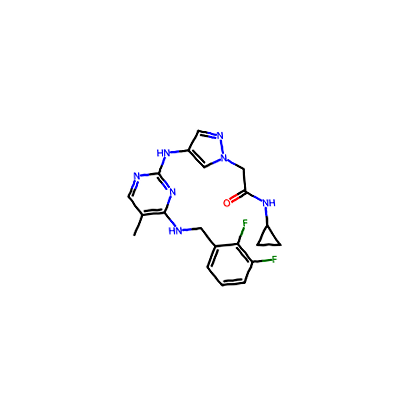 Cc1cnc(Nc2cnn(CC(=O)NC3CC3)c2)nc1NCc1cccc(F)c1F